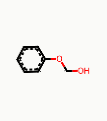 O[CH]Oc1[c]cccc1